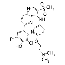 CN(C)CCOc1ccc(Nc2c(S(C)(=O)=O)cnc3ccc(-c4cc(F)c(O)c(Cl)c4)nc23)cn1